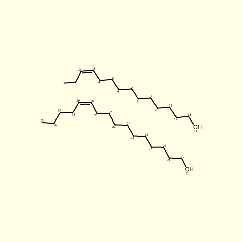 CC/C=C\CCCCCCCCCCO.CCCC/C=C\CCCCCCCCCCO